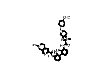 CC(C)N1CCc2cc(C(=O)Nc3cccc(-c4cccc(NC(=O)c5nc6c(n5C)CCN(C[C@H]5CC[C@H](C=O)CC5)C6)c4Cl)c3Cl)ncc2C1